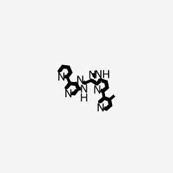 Cc1ccncc1-c1ccc2[nH]nc(-c3nc4c(-c5ccccn5)cncc4[nH]3)c2n1